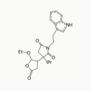 CCOC1OC(=O)CC1C1(C(C)C)CC(=O)N(CCc2c[nH]c3ccccc23)C1=O